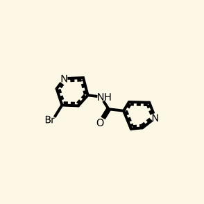 O=C(Nc1cncc(Br)c1)c1ccncc1